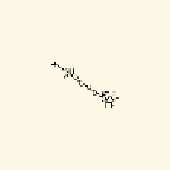 CC(C)(C)CCCCNC(=O)CCOCCOCCOCCOCCC(=O)Oc1c(F)c(F)c(F)c(F)c1F